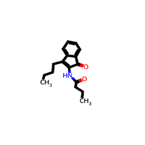 CCCCC1=C(NC(=O)CCC)C(=O)c2ccccc21